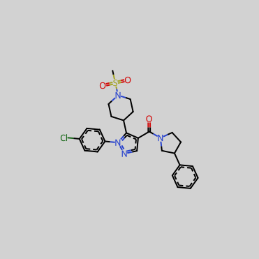 CS(=O)(=O)N1CCC(c2c(C(=O)N3CCC(c4ccccc4)C3)cnn2-c2ccc(Cl)cc2)CC1